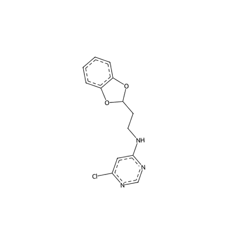 Clc1cc(NCCC2Oc3ccccc3O2)ncn1